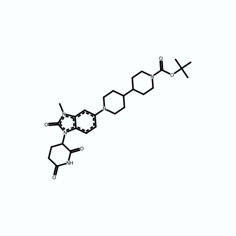 Cn1c(=O)n(C2CCC(=O)NC2=O)c2ccc(N3CCC(C4CCN(C(=O)OC(C)(C)C)CC4)CC3)cc21